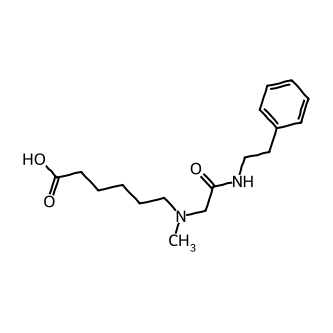 CN(CCCCCC(=O)O)CC(=O)NCCc1ccccc1